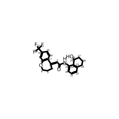 O=C(C=C1CCCOc2cc(C(F)(F)F)ccc21)Nc1cccc2c1C(O)CCC2